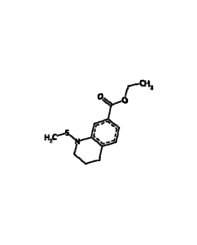 CCOC(=O)c1ccc2c(c1)N(SC)CCC2